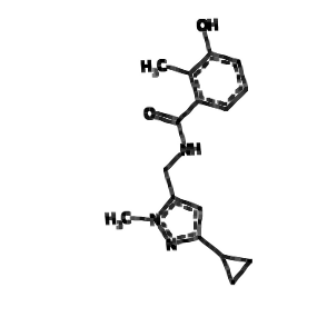 Cc1c(O)cccc1C(=O)NCc1cc(C2CC2)nn1C